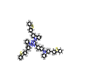 c1ccc2c(c1)sc1cc(-c3ccc4c(c3)c3ccccc3n4-c3ccc4cc(-c5cc(-n6c7ccccc7c7cc(-c8ccc9c(c8)sc8ccccc89)ccc76)nc(-n6c7ccccc7c7cc(-c8ccc9c(c8)sc8ccccc89)ccc76)n5)ccc4c3)ccc12